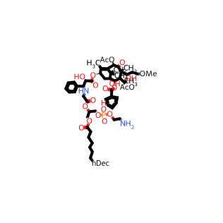 CCCCCCCCCCCCCCCCC(=O)OCC(COP(=O)(O)OCCN)OC(=O)CNC(c1ccccc1)[C@@H](O)C(=O)O[C@H]1C[C@@]2(O)[C@@H](OC(=O)c3ccccc3)C([C@H](C)OC(C)=O)[C@@](C)([C@@H](O)CCOC)C(=O)[C@H](OC(C)=O)C(=C1C)C2(C)C